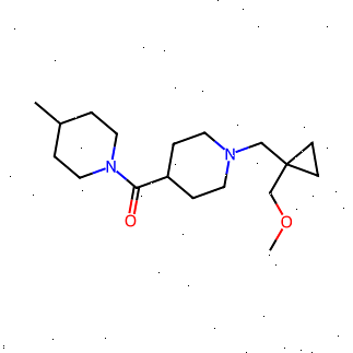 COCC1(CN2CCC(C(=O)N3CCC(C)CC3)CC2)CC1